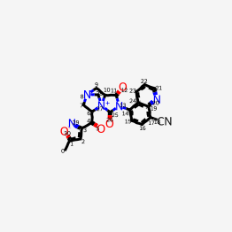 Cc1cc(C(=O)C2CN3CC4C(=O)N(c5ccc(C#N)c6ncccc56)C(=O)[N+]24C3)no1